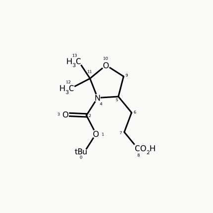 CC(C)(C)OC(=O)N1C(CCC(=O)O)COC1(C)C